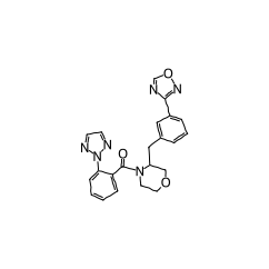 O=C(c1ccccc1-n1nccn1)N1CCOCC1Cc1cccc(-c2ncon2)c1